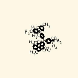 Cc1ccc(N(c2ccc(N(c3ccc(C(C)(C)C)cc3)c3cc4c5c(c3)C(C)(C)c3cccc6c(C)cc(c-5c36)C4(C)C)cc2)c2ccc(C)cc2C)c(C)c1